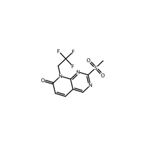 CS(=O)(=O)c1ncc2ccc(=O)n(CC(F)(F)F)c2n1